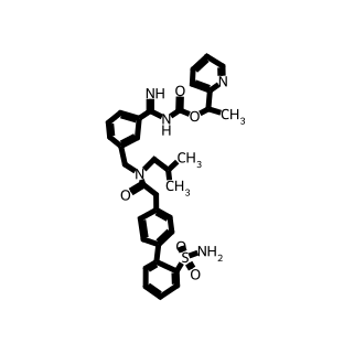 CC(C)CN(Cc1cccc(C(=N)NC(=O)OC(C)c2ccccn2)c1)C(=O)Cc1ccc(-c2ccccc2S(N)(=O)=O)cc1